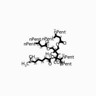 CCCCCC(CCCCC)CC(=O)OCC(C)(COC(=O)CC(CCCCC)CCCCC)CC(OC(=O)CCCCN(C)C)(C(=O)O)C(CCCCC)CCCCC